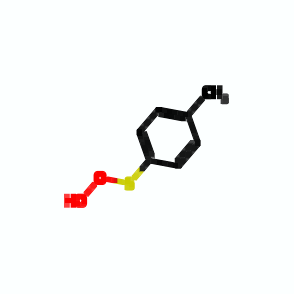 Cc1ccc(SOO)cc1